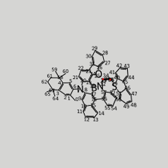 Cc1cc2c(cc1N1c3cc4ccccc4c4c3B(c3c1ccc1c3oc3ccccc31)N1c3ccccc3S3(c5ccccc5-c5ccccc53)c3cccc-4c31)C(C)(C)CCC2(C)C